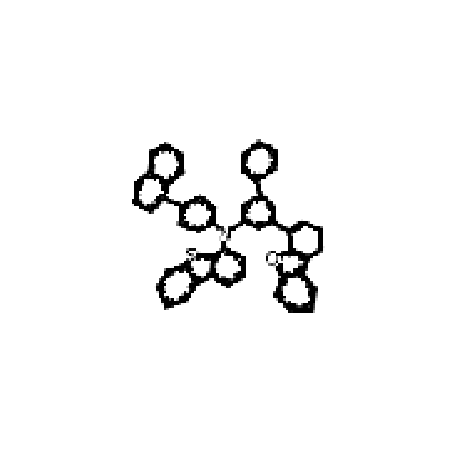 C1=C(c2cc(-c3ccccc3)cc(N(c3ccc(-c4cccc5ccccc45)cc3)c3cccc4c3sc3ccccc34)c2)c2oc3ccccc3c2CC1